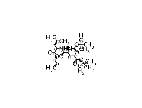 C=CCOC(=O)C(C=C(C)C)NC(=O)[C@H](CCC(=O)OC(C)(C)C)NC(=O)OC(C)(C)C